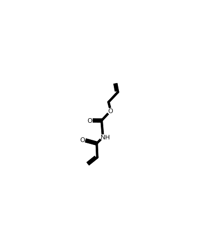 C=CCOC(=O)NC(=O)C=C